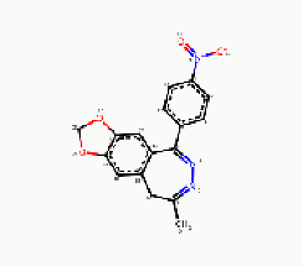 CC1=NN=C(c2ccc([N+](=O)[O-])cc2)c2cc3c(cc2C1)OCO3